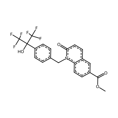 COC(=O)c1ccc2c(ccc(=O)n2Cc2ccc(C(O)(C(F)(F)F)C(F)(F)F)cc2)c1